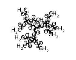 C=CC(=O)OCC(COC(=O)C=C)(COC(=O)C=C)COC(=O)CC(CC(=O)OCC(COC(=O)C=C)(COC(=O)C=C)COC(=O)C=C)CC(=O)OCC(COC(=O)C=C)(COC(=O)C=C)COC(=O)C=C